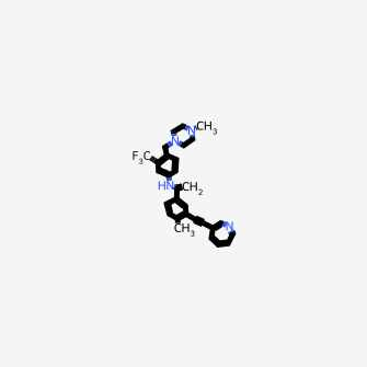 C=C(Nc1ccc(CN2CCN(C)CC2)c(C(F)(F)F)c1)c1ccc(C)c(C#CC2=CN=CC=C=C2)c1